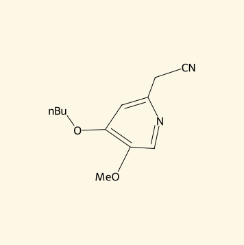 CCCCOc1cc(CC#N)ncc1OC